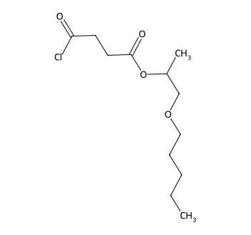 CCCCCOCC(C)OC(=O)CCC(=O)Cl